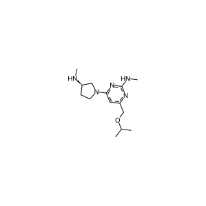 CNc1nc(COC(C)C)cc(N2CC[C@@H](NC)C2)n1